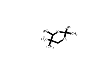 CC(C)C1OC(C)(C(C)C)OCC1(C)C